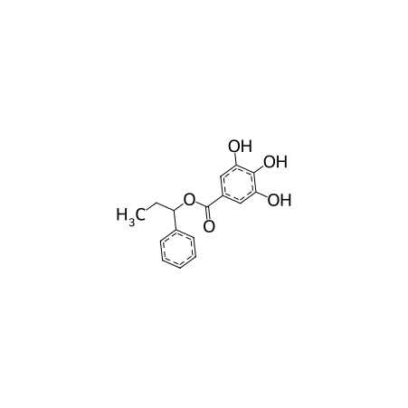 CCC(OC(=O)c1cc(O)c(O)c(O)c1)c1ccccc1